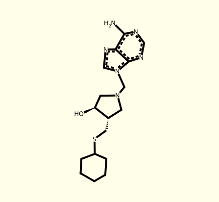 Nc1ncnc2c1ncn2CN1C[C@H](CSC2CCCCC2)[C@@H](O)C1